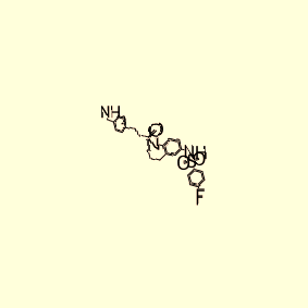 NCc1ccc(CCC(=O)N2CCCc3cc(NS(=O)(=O)c4ccc(F)cc4)ccc32)cc1